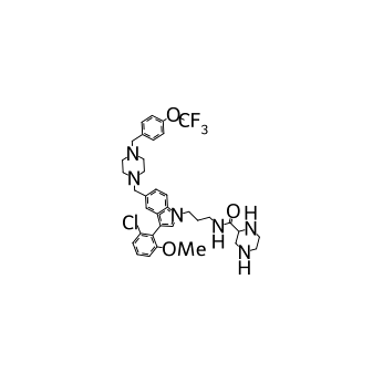 COc1cccc(Cl)c1-c1cn(CCCNC(=O)C2CNCCN2)c2ccc(CN3CCN(Cc4ccc(OC(F)(F)F)cc4)CC3)cc12